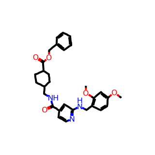 COc1ccc(CNc2cc(C(=O)NCC3CCC(C(=O)OCc4ccccc4)CC3)ccn2)c(OC)c1